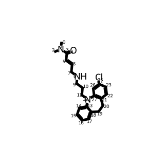 CN(C)C(=O)/C=C/CNCCCN1c2ccccc2CCc2ccc(Cl)cc21